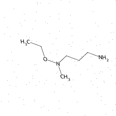 CCON(C)CCCN